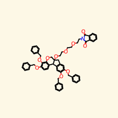 O=C1c2ccccc2C(=O)N1CCOCCOCCOC12COc3c(ccc(OCc4ccccc4)c3OCc3ccccc3)C1c1cc(OCc3ccccc3)c(OCc3ccccc3)cc1C2